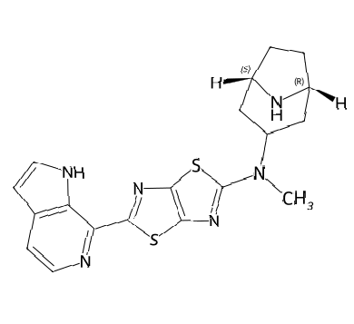 CN(c1nc2sc(-c3nccc4cc[nH]c34)nc2s1)C1C[C@H]2CC[C@@H](C1)N2